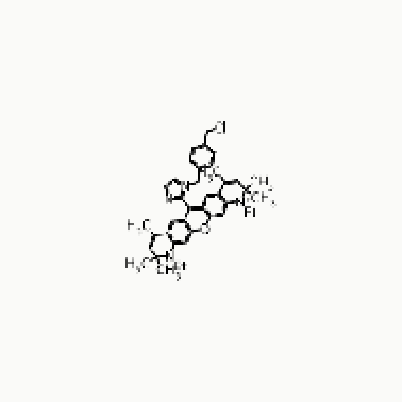 CCN1c2cc3c(cc2C(C)=CC1(C)C)C(c1nccn1Cc1ccc(CCl)cc1)=c1cc2c(cc1O3)=[N+](CC)C(C)(C)C=C2C